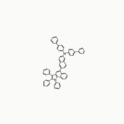 c1ccc(-c2ccc(N(c3ccc(-c4ccccc4)cc3)c3ccc4cc(-c5cc6c(-c7ccccc7)c(-c7ccccc7)n(-c7ccccc7)c6c6ccccc56)ccc4c3)cc2)cc1